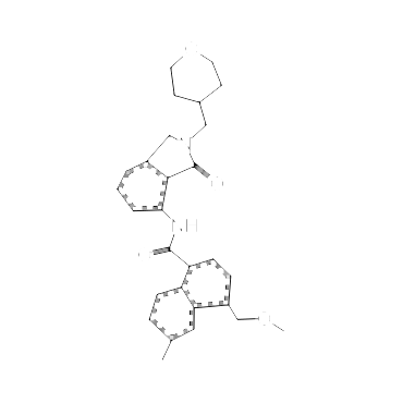 COCc1ccc(C(=O)Nc2cccc3c2C(=O)N(CC2CCOCC2)C3)c2ccc(C)cc12